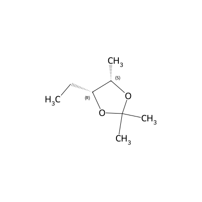 CC[C@H]1OC(C)(C)O[C@H]1C